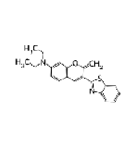 C=C1Oc2cc(N(CC)CC)ccc2C=C1c1nc2ccccc2s1